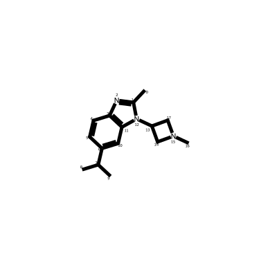 Cc1nc2ccc(C(C)C)cc2n1C1CN(C)C1